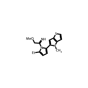 CCc1ccc(-c2cc3sccc3n2C)n1C(=N)COC